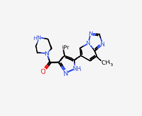 Cc1cc(-c2[nH]nc(C(=O)N3CCNCC3)c2C(C)C)cn2ncnc12